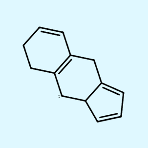 [C]1C2=C(C=CCC2)CC2=CC=CC12